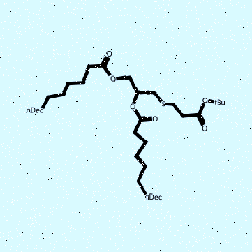 CCCCCCCCCCCCCCCC(=O)OCC(CSCCC(=O)OC(C)(C)C)OC(=O)CCCCCCCCCCCCCCC